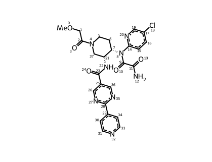 COCC(=O)N1CC[C@H](N(C(=O)C(N)=O)c2ccc(Cl)cn2)[C@H](NC(=O)c2cnc(-c3ccncc3)nc2)C1